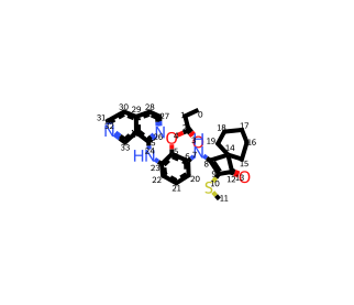 CCC(=O)Oc1c(NC2=C(SC)C(=O)C23CCCCC3)cccc1Nc1nccc2ccncc12